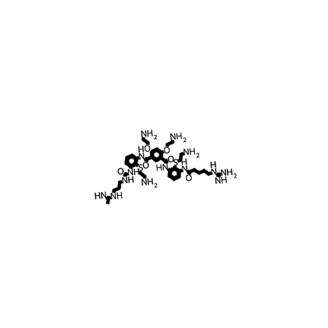 CC(=N)NCCCNC(=O)Nc1cccc(NC(=O)c2cc(C(=O)Nc3cccc(NC(=O)CCCCNC(=N)N)c3SCCN)c(OCCN)cc2OCCN)c1SCCN